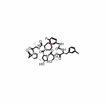 Cc1cccc(C[C@H](NC(=O)Nc2ccc(F)cc2)C(=O)N[C@H](C(=O)N2C[C@H](O)C[C@H]2C(=O)N2CCCC[C@H]2C(=O)N[C@@H](C)C(=O)N2C[C@H](C)C[C@@]23CC3=O)[C@H](C)O)c1